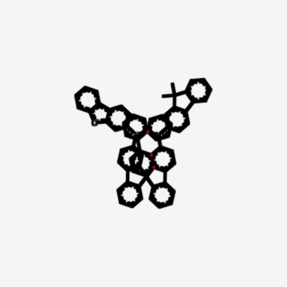 CC1(C)c2ccccc2-c2ccc(N(c3ccc4c(c3)C3(c5ccccc5-c5ccc(N(c6ccccc6)c6ccc7c(c6)oc6ccccc67)cc53)c3ccccc3-4)c3ccccc3-c3ccccc3)cc21